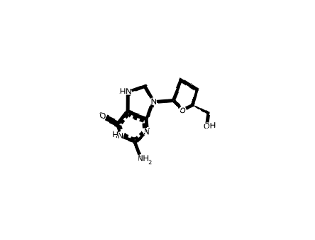 Nc1nc2c(c(=O)[nH]1)NCN2C1CC[C@@H](CO)O1